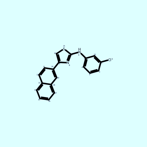 Clc1cccc(Nc2nc(-c3ccc4ccccc4c3)cs2)c1